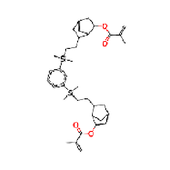 C=C(C)C(=O)OC1CC2CC(CC[Si](C)(C)c3cccc([Si](C)(C)CCC4CC5CC(OC(=O)C(=C)C)C4C5)c3)C1C2